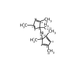 CC1=C[C](C)([Ni][C]2(C)C=C(C)C=C2C)C(C)=C1